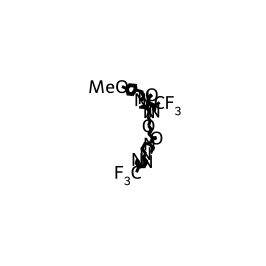 COc1ccc(Cn2ncc3c(c(C(F)(F)F)nn3CCO/C=C/C(=O)N3CCN(c4ncc(C(F)(F)F)cn4)CC3)c2=O)cc1